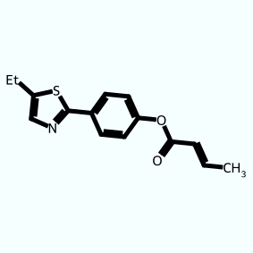 CC=CC(=O)Oc1ccc(-c2ncc(CC)s2)cc1